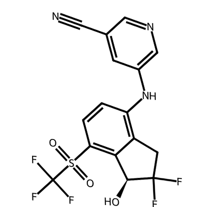 N#Cc1cncc(Nc2ccc(S(=O)(=O)C(F)(F)F)c3c2CC(F)(F)[C@H]3O)c1